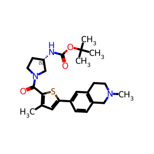 Cc1cc(-c2ccc3c(c2)CCN(C)C3)sc1C(=O)N1CC[C@H](NC(=O)OC(C)(C)C)C1